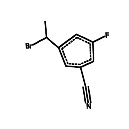 CC(Br)c1cc(F)cc(C#N)c1